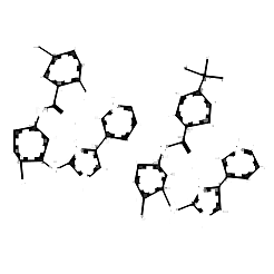 Cc1ccc(F)c(C(=O)Nc2ccc(C)c(Nc3nc(-c4cccnc4)cs3)c2)c1.Cc1ccc(NC(=O)c2ccc(C(C)(C)C)cc2)cc1Nc1nc(-c2cccnc2)cs1